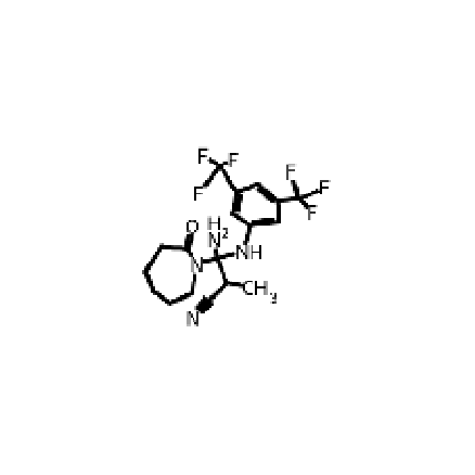 CC(C#N)C(N)(Nc1cc(C(F)(F)F)cc(C(F)(F)F)c1)N1CCCCCC1=O